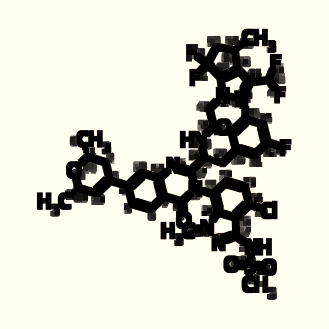 C[C@@H]1CC(c2ccc3c(=O)n(-c4ccc(Cl)c5c(NS(C)(=O)=O)nn(C)c45)c([C@H](Cc4cc(F)cc(F)c4)NC(=O)Cn4nc(C(F)F)c5c4C(F)(F)C[C@H]5C)nc3c2)=C[C@H](C)O1